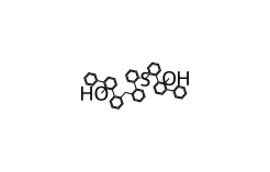 Oc1c(-c2ccccc2)cccc1-c1ccccc1Cc1ccccc1-c1ccccc1Sc1ccccc1-c1cccc(-c2ccccc2)c1O